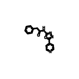 O=C(Cc1ccccc1)Nc1nnc(-c2ccncc2)o1